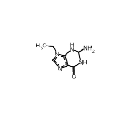 CCn1cnc2c1NC(N)NC2=O